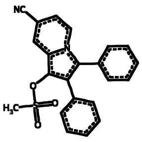 CS(=O)(=O)Oc1c(-c2ccccc2)c(-c2ccccc2)n2ccc(C#N)cc12